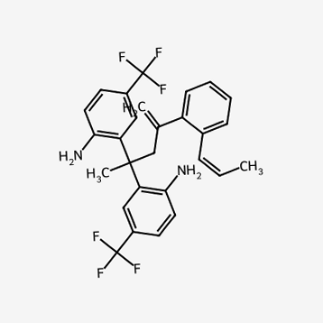 C=C(CC(C)(c1cc(C(F)(F)F)ccc1N)c1cc(C(F)(F)F)ccc1N)c1ccccc1/C=C\C